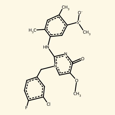 COc1cn(Cc2ccc(F)c(Cl)c2)c(Nc2cc([S+](C)[O-])c(C)cc2C)nc1=O